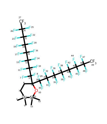 C[Si]1(C)CCC(C(F)(F)C(F)(F)C(F)(F)C(F)(F)C(F)(F)C(F)(F)C(F)(F)C(F)(F)F)(C(F)(F)C(F)(F)C(F)(F)C(F)(F)C(F)(F)C(F)(F)C(F)(F)C(F)(F)F)O[Si]1(C)C